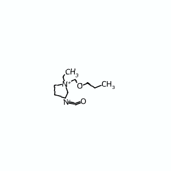 CCCOC[N+]1(CC)CCCC1.[N-]=C=O